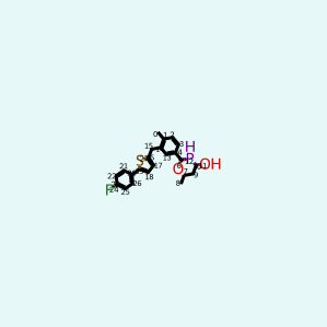 Cc1ccc(C2OC(C)CC(O)P2)cc1Cc1ccc(-c2ccc(F)cc2)s1